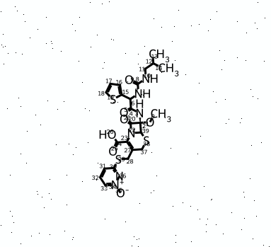 CO[C@@]1(NC(=O)C(NC(=O)NCC(C)C)c2cccs2)C(=O)N2C(C(=O)O)=C(CSc3ccc[n+]([O-])n3)CSC21